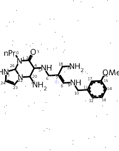 CCCN1C(=O)C(NC/C(=C/NCc2cccc(OC)c2)CN)C(N)N2C=CNC12